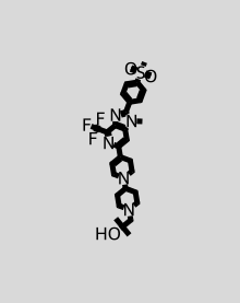 Cn1c(-c2ccc(S(C)(=O)=O)cc2)nc2c(C(F)(F)F)nc(C3=CCN(C4CCN(CC(C)(C)O)CC4)CC3)cc21